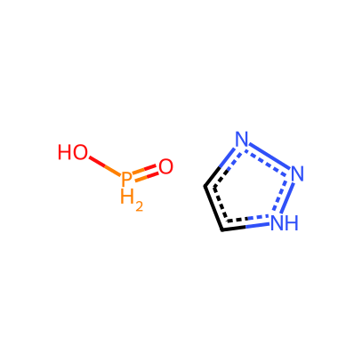 O=[PH2]O.c1c[nH]nn1